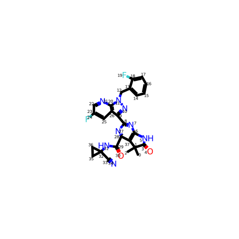 CC1(C)C(=O)Nc2nc(-c3nn(Cc4ccccc4F)c4ncc(F)cc34)nc(C(=O)NC3(C#N)CC3)c21